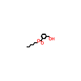 CCCCCCOC(=O)c1cccc(CO)c1